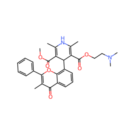 COC(=O)C1=C(C)NC(C)=C(C(=O)OCCN(C)C)C1c1cccc2c(=O)c(C)c(-c3ccccc3)oc12